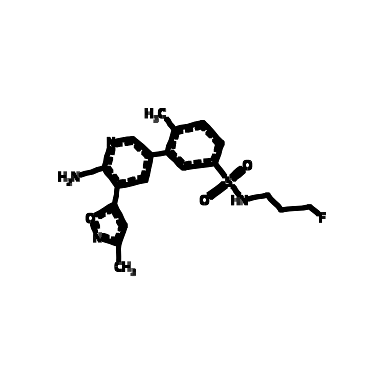 Cc1cc(-c2cc(-c3cc(S(=O)(=O)NCCCF)ccc3C)cnc2N)on1